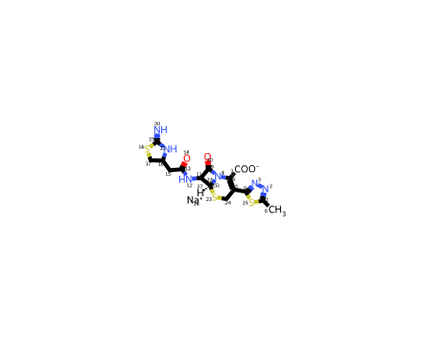 Cc1nnc(C2=C(C(=O)[O-])N3C(=O)C(NC(=O)CC4CSC(=N)N4)[C@@H]3SC2)s1.[Na+]